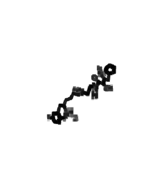 NC(CCCCNCCNC(=O)C(O)C(N)Cc1ccccc1)Cc1cc(F)ccc1F